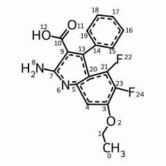 CCOc1cc2nc(N)c(C(=O)O)c(-c3ccccc3)c2c(F)c1F